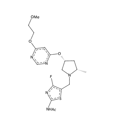 COCCOc1cc(O[C@@H]2C[C@H](C)N(Cc3sc(NC(C)=O)nc3F)C2)ncn1